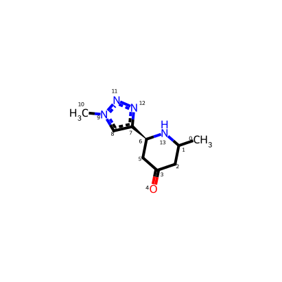 CC1CC(=O)C[C@@H](c2cn(C)nn2)N1